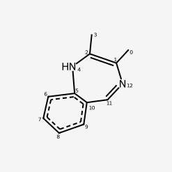 CC1=C(C)Nc2ccccc2C=N1